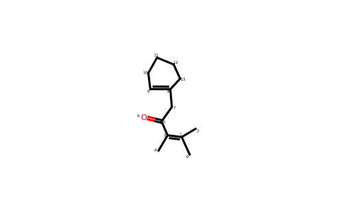 CC(C)=C(C)C(=O)CC1=CCCCC1